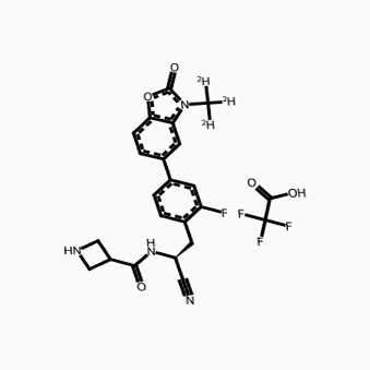 O=C(O)C(F)(F)F.[2H]C([2H])([2H])n1c(=O)oc2ccc(-c3ccc(C[C@@H](C#N)NC(=O)C4CNC4)c(F)c3)cc21